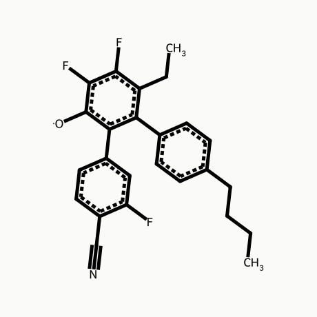 CCCCc1ccc(-c2c(CC)c(F)c(F)c([O])c2-c2ccc(C#N)c(F)c2)cc1